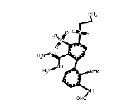 CNc1c(NC=O)cccc1-c1ccc(S(=O)(=O)CCN)c(S(N)(=O)=O)c1/C(=N/N)NN